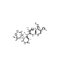 COc1ccc(CN(CCC2(c3ccccc3)CCOC(C)(C)C2)C(C)=O)cc1OC